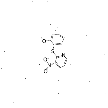 COc1ccccc1Sc1ncccc1[N+](=O)[O-]